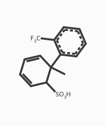 CC1(c2ccccc2C(F)(F)F)C=CC=CC1S(=O)(=O)O